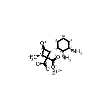 CN1C(=O)CC1(C(=O)[O-])C(=O)[O-].N[C@@H]1CCCC[C@H]1N.[Pt+2]